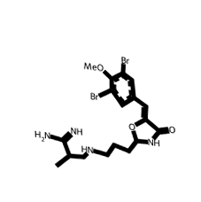 COc1c(Br)cc(/C=C2\OC(CCCNCC(C)C(=N)N)NC2=O)cc1Br